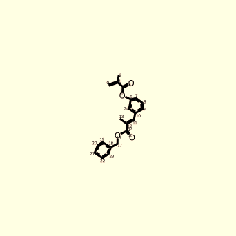 C=C(C)C(=O)Oc1cccc(/C=C(\C)C(=O)OCc2ccccc2)c1